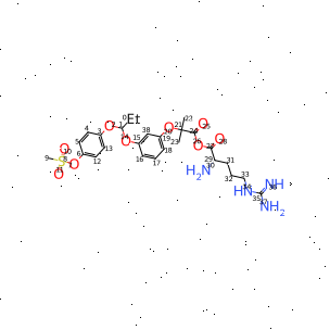 CCC(Oc1ccc(OS(C)(=O)=O)cc1)Oc1cccc(OC(C)(C)C(=O)OC(=O)[C@@H](N)CCCNC(=N)N)c1